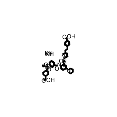 CCN(C1CCC(C(=O)O)CC1)S(=O)(=O)c1cccc(C(=O)Nc2ccc(N3CCCCC3)cc2C(=O)Nc2ccc(CCc3ccc(C(=O)O)cc3)cn2)c1.[KH].[KH]